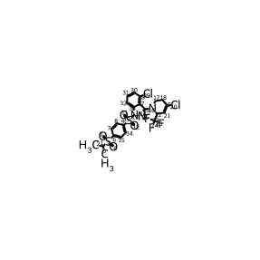 CC(C)S(=O)(=O)c1ccc(S(=O)(=O)n2nc(N3CCC(Cl)=CC3C(F)(F)F)c3c(Cl)cccc32)cc1